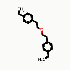 C=Cc1ccc(CCOCCc2ccc(C=C)cc2)cc1